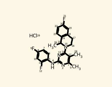 Cc1nc(Nc2ccc(F)cc2F)nc(N2CCc3cc(F)ccc3C2C)c1C.Cl